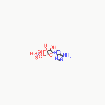 Nc1ncnc2c1ncn2[C@@H]1O[C@H](COOP(=O)(O)O)[C@@H](O)[C@H]1O